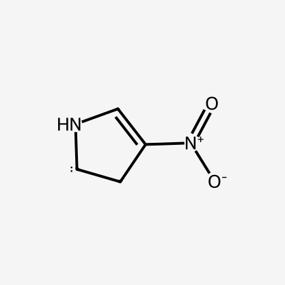 O=[N+]([O-])C1=CN[C]C1